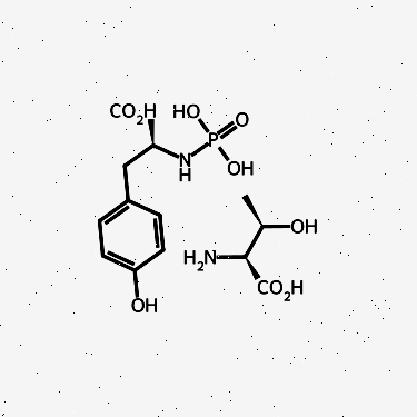 C[C@@H](O)[C@H](N)C(=O)O.O=C(O)[C@H](Cc1ccc(O)cc1)NP(=O)(O)O